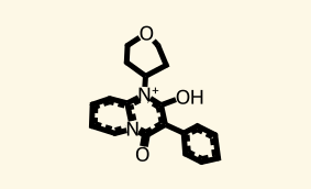 O=c1c(-c2ccccc2)c(O)[n+](C2CCOCC2)c2ccccn12